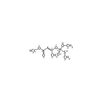 COC(=O)/C=C(\C)OP(=O)(OC)SC